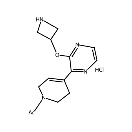 CC(=O)N1CC=C(c2nccnc2OC2CNC2)CC1.Cl